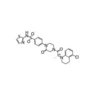 C[C@H](C(=O)N1CCN(c2ccc(S(=O)(=O)Nc3nccs3)cc2)C(=O)C1)N1CCCc2c(Cl)cccc21